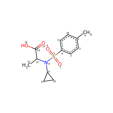 Cc1ccc(S(=O)(=O)N(C2CC2)C(C)C(=O)O)cc1